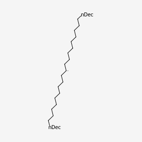 CCCCCCCCCCCCCCCCCCC[CH]CCCCCCCCCCCCCCCCCCC